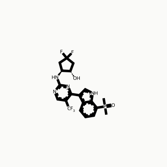 CP(C)(=O)c1cccc2c(-c3nc(N[C@H]4CC(F)(F)C[C@@H]4O)ncc3C(F)(F)F)c[nH]c12